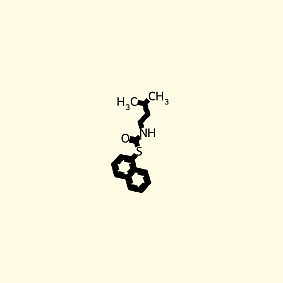 CC(C)CCNC(=O)Sc1cccc2ccccc12